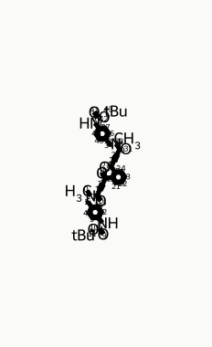 CN(Cc1ccc(NC(=O)OC(C)(C)C)cc1)C(=O)C#CC(=O)c1ccccc1C(=O)C#CC(=O)N(C)Cc1ccc(NC(=O)OC(C)(C)C)cc1